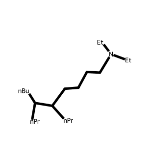 CCCCC(CCC)C(CCC)CCCCN(CC)CC